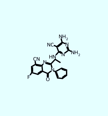 CC(Nc1nc(N)nc(N)c1C#N)c1nc2c(C#N)cc(F)cc2c(=O)n1-c1ccccc1